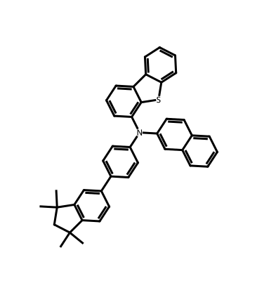 CC1(C)CC(C)(C)c2cc(-c3ccc(N(c4ccc5ccccc5c4)c4cccc5c4sc4ccccc45)cc3)ccc21